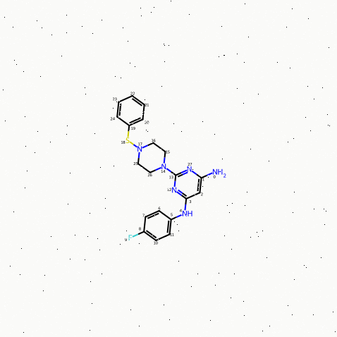 Nc1cc(Nc2ccc(F)cc2)nc(N2CCN(Sc3ccccc3)CC2)n1